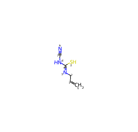 C=CC/N=C(\S)NC#N